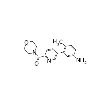 Cc1ccc(N)cc1-c1ccc(C(=O)N2CCOCC2)nc1